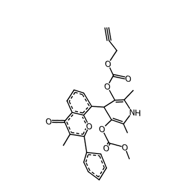 C#CCOC(=O)OC1=C(C)NC(C)=C(OC(=O)OC)C1c1cccc2c(=O)c(C)c(-c3ccccc3)oc12